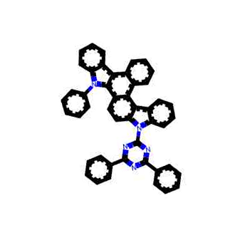 c1ccc(-c2nc(-c3ccccc3)nc(-n3c4ccccc4c4c5c6ccccc6c6c7ccccc7n(-c7ccccc7)c6c5ccc43)n2)cc1